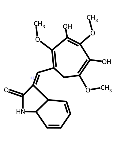 COC1=C(O)C(OC)=C(O)C(OC)=C(/C=C2/C(=O)NC3C=CC=CC23)C1